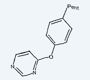 CCCC(C)c1ccc(Oc2ccncn2)cc1